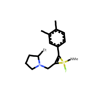 CCC1CCCN1CC1=C(c2ccc(C)c(C)c2)S1(F)NC